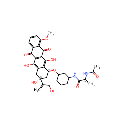 C=C(CO)[C@@]1(O)Cc2c(O)c3c(c(O)c2[C@@H](OC2CCCC(NC(=O)[C@H](C)NC(C)=O)C2)C1)C(=O)c1c(OC)cccc1C3=O